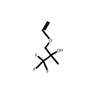 C=COCC(C)(O)C(F)(F)F